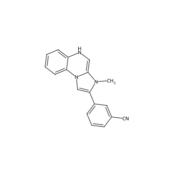 CN1C(c2cccc(C#N)c2)=CN2C1=CNc1ccccc12